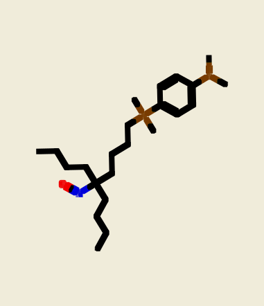 CCCCC(CCCC)(CCCCS(C)(C)c1ccc([SH](C)C)cc1)N=O